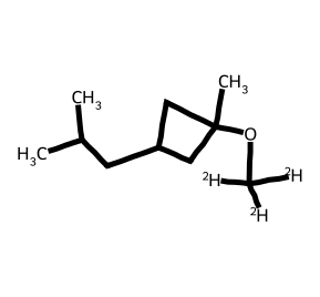 [2H]C([2H])([2H])OC1(C)CC(CC(C)C)C1